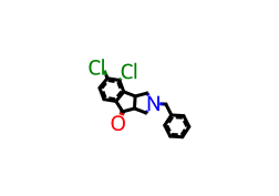 O=C1c2ccc(Cl)c(Cl)c2C2CN(Cc3ccccc3)CC12